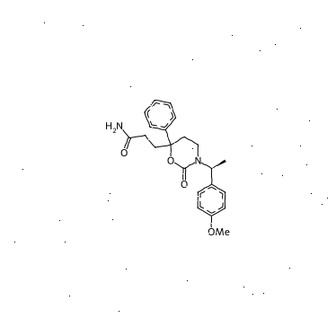 COc1ccc([C@H](C)N2CCC(CCC(N)=O)(c3ccccc3)OC2=O)cc1